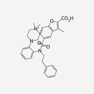 Cc1c(C(=O)O)oc2ccc(S(=O)(=O)N(CCc3ccccc3)c3ccccc3N3CC[N+](C)(C)CC3)cc12